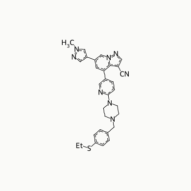 CCSc1ccc(CN2CCN(c3ccc(-c4cc(-c5cnn(C)c5)cn5ncc(C#N)c45)cn3)CC2)cc1